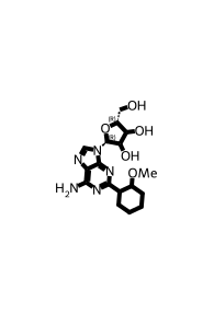 COC1CCCCC1c1nc(N)c2ncn([C@@H]3O[C@H](CO)C(O)C3O)c2n1